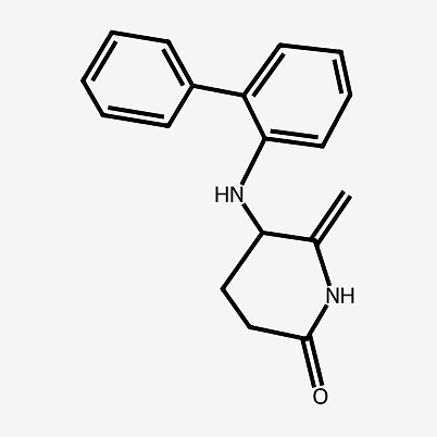 C=C1NC(=O)CCC1Nc1ccccc1-c1ccccc1